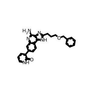 Nc1nc2cc(-c3ccc[nH]c3=O)ccc2c2[nH]c(CCCOCc3ccccc3)nc12